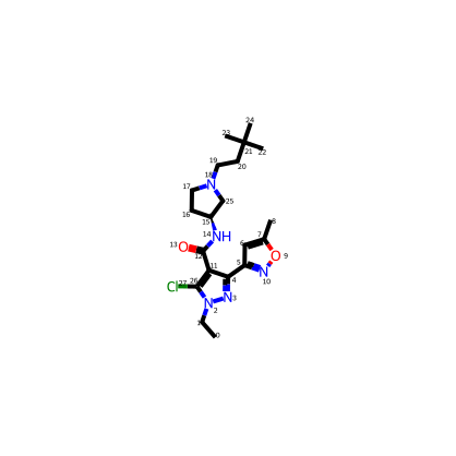 CCn1nc(-c2cc(C)on2)c(C(=O)N[C@H]2CCN(CCC(C)(C)C)C2)c1Cl